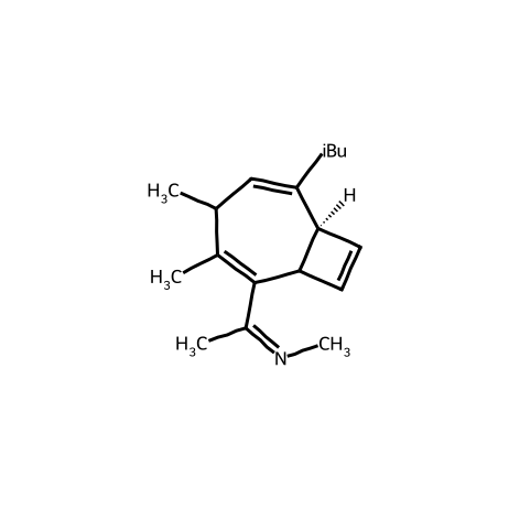 CCC(C)C1=CC(C)C(C)=C(/C(C)=N\C)C2C=C[C@H]12